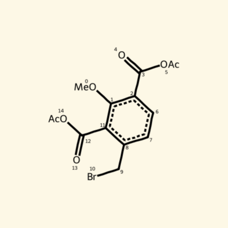 COc1c(C(=O)OC(C)=O)ccc(CBr)c1C(=O)OC(C)=O